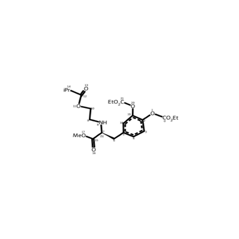 CCOC(=O)Oc1ccc(C[C@H](NCCOC(=O)C(C)C)C(=O)OC)cc1OC(=O)OCC